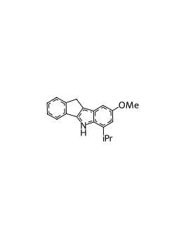 COc1cc(C(C)C)c2[nH]c3c(c2c1)Cc1ccccc1-3